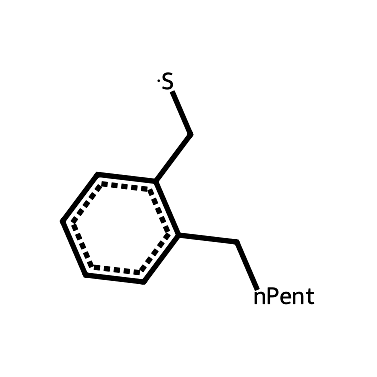 CCCCCCc1ccccc1C[S]